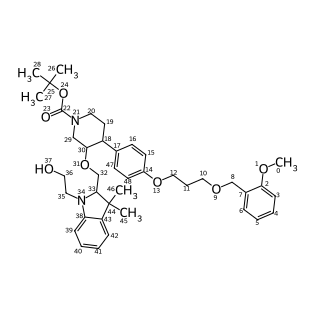 COc1ccccc1COCCCOc1ccc(C2CCN(C(=O)OC(C)(C)C)CC2OCC2N(CCO)c3ccccc3C2(C)C)cc1